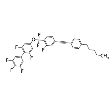 CCCCCc1ccc(C#Cc2ccc(C(F)(F)Oc3cc(F)c(-c4cc(F)c(F)c(F)c4)c(F)c3)c(F)c2)cc1